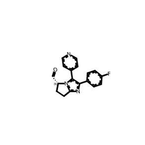 O=C[C@H]1CCc2nc(-c3ccc(F)cc3)c(-c3ccncc3)n21